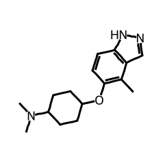 Cc1c(OC2CCC(N(C)C)CC2)ccc2[nH]ncc12